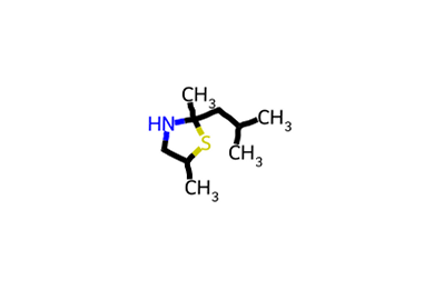 CC(C)CC1(C)NCC(C)S1